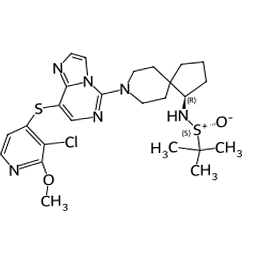 COc1nccc(Sc2cnc(N3CCC4(CCC[C@H]4N[S@+]([O-])C(C)(C)C)CC3)n3ccnc23)c1Cl